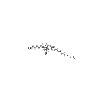 CCCCCCCCCCCCCC(C)C(C)(CCCCCCCC)N[C]=O